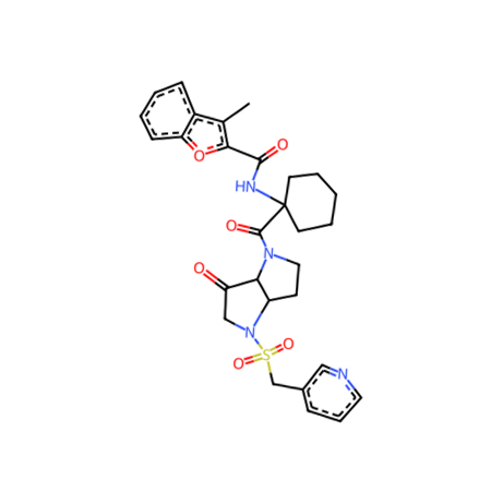 Cc1c(C(=O)NC2(C(=O)N3CCC4C3C(=O)CN4S(=O)(=O)Cc3cccnc3)CCCCC2)oc2ccccc12